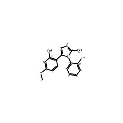 COc1ccc(-c2nnc(O)n2-c2ccccc2F)c(O)c1